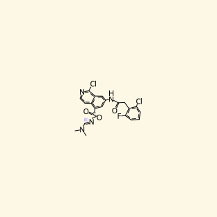 CN(C)/C=N/S(=O)(=O)c1cc(NC(=O)Cc2c(F)cccc2Cl)cc2c(Cl)nccc12